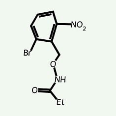 CCC(=O)NOCc1c(Br)cccc1[N+](=O)[O-]